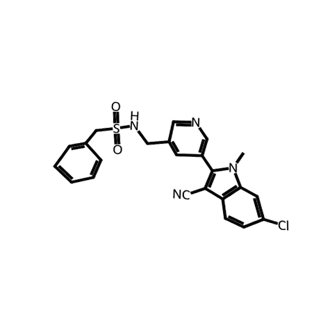 Cn1c(-c2cncc(CNS(=O)(=O)Cc3ccccc3)c2)c(C#N)c2ccc(Cl)cc21